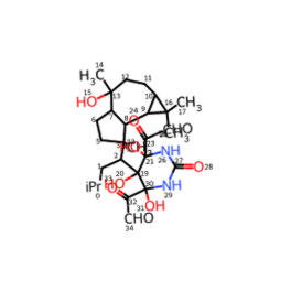 CC(C)CC(C1(C)CCC2C1C1C(CCC2(C)O)C1(C)C)C1(O)C(O)(C(=O)C=O)NC(=O)NC1(O)C(=O)C=O